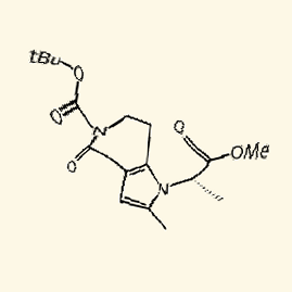 COC(=O)[C@H](C)n1c(C)cc2c1CCN(C(=O)OC(C)(C)C)C2=O